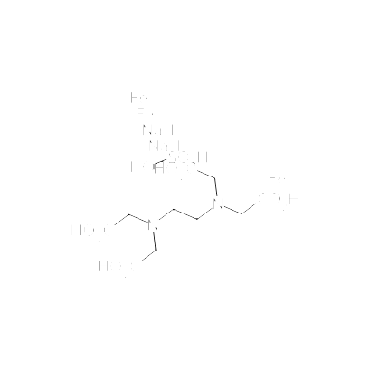 O=C(O)CN(CCN(CC(=O)O)CC(=O)O)CC(=O)O.O=S(=O)(O)O.[Fe].[Fe].[Fe].[NaH].[NaH]